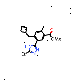 CCc1nnc(-c2cc(C(=O)OC)c(C)cc2CC2CCC2)[nH]1